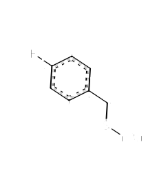 CCCCSCc1ccc(F)cc1